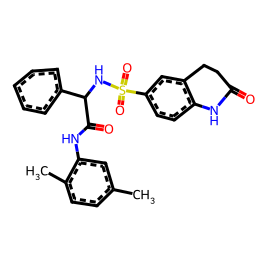 Cc1ccc(C)c(NC(=O)C(NS(=O)(=O)c2ccc3c(c2)CCC(=O)N3)c2ccccc2)c1